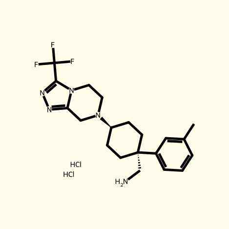 Cc1cccc([C@]2(CN)CC[C@H](N3CCn4c(nnc4C(F)(F)F)C3)CC2)c1.Cl.Cl